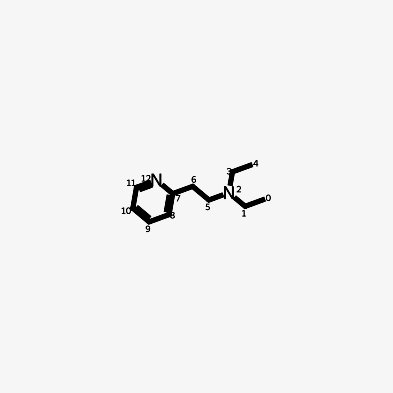 CCN(CC)CCc1ccccn1